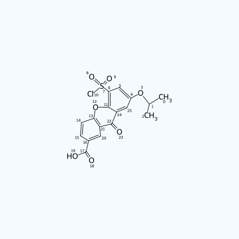 CC(C)Oc1cc(S(=O)(=O)Cl)c2oc3ccc(C(=O)O)cc3c(=O)c2c1